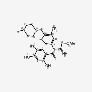 C=C(c1cc(C(C)C)c(O)cc1O)N(C(=N)COC)C1=CC(C(F)(F)F)=C(CN2CCN(C)CC2)CC1